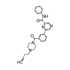 C#CCCN1CCN(C(=O)c2cccc(-c3cncc(C(=O)Nc4ccccc4)n3)c2)CC1